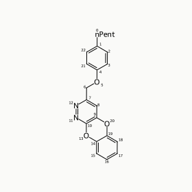 CCCCCc1ccc(OCc2cc3c(nn2)Oc2ccccc2O3)cc1